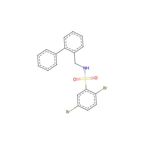 O=S(=O)(NCc1ccccc1-c1ccccc1)c1cc(Br)ccc1Br